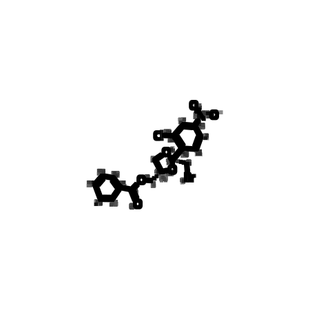 O=C(OC[C@@H]1CO[C@@](CBr)(c2ccc([N+](=O)[O-])cc2Cl)O1)c1ccccc1